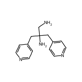 NCC(N)(Cc1ccncc1)Cc1ccncc1